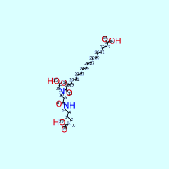 C[C@@H](CCCCNC(=O)CCN(CC(=O)O)C(=O)CCCCCCCCCCCCCCCCC(=O)O)C(=O)O